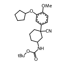 COc1ccc(C2(C#N)CCCC(NC(=O)OC(C)(C)C)C2)cc1OC1CCCC1